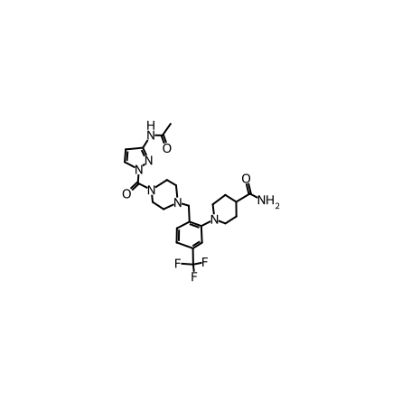 CC(=O)Nc1ccn(C(=O)N2CCN(Cc3ccc(C(F)(F)F)cc3N3CCC(C(N)=O)CC3)CC2)n1